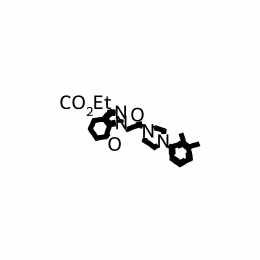 CCOC(=O)c1nn(CC(=O)N2CCN(c3cccc(C)c3C)CC2)c2c1CCCC2=O